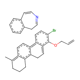 C1=Cc2ccccc2CC=N1.C=CCOc1c(Br)ccc2c1=CCc1c3c(ccc1=2)=C(C)CCC3